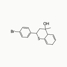 CC1(O)CC(c2ccc(Br)cc2)SC2=CCC=CC21